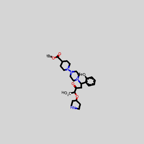 COc1ccccc1C(CC(=O)C(OC1CCNCC1)C(=O)O)N1CCN(N2CCC(C(=O)OC(C)(C)C)CC2)CC1